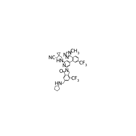 Cn1cnnc1-c1ccc(C(F)(F)F)cc1-c1cc(NCC2(CC#N)CC2)nc(N2Cc3c(cc(CNC4CCCC4)cc3C(F)(F)F)C2=O)c1